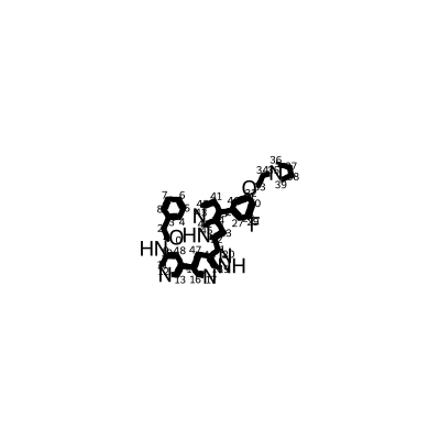 O=C(Cc1ccccc1)Nc1cncc(-c2cnc3[nH]nc(-c4cc5c(-c6cc(F)cc(OCCN7CCCC7)c6)ccnc5[nH]4)c3c2)c1